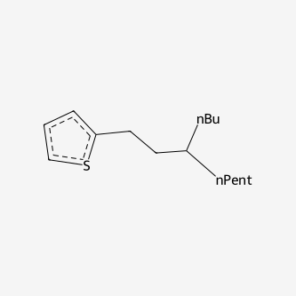 CCCCCC(CCCC)CCc1cccs1